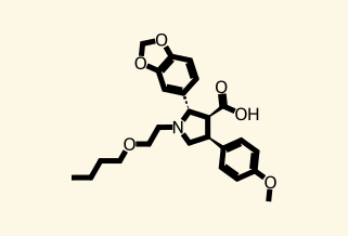 CCCCOCCN1C[C@H](c2ccc(OC)cc2)[C@H](C(=O)O)[C@H]1c1ccc2c(c1)OCO2